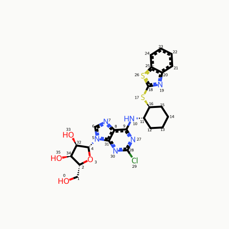 OC[C@H]1O[C@@H](n2cnc3c(N[C@H]4CCCC[C@@H]4Sc4nc5ccccc5s4)nc(Cl)nc32)[C@H](O)[C@@H]1O